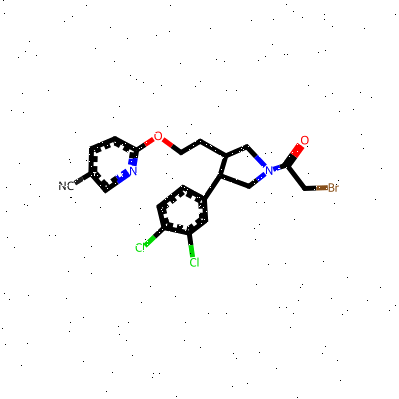 N#Cc1ccc(OCCC2CN(C(=O)CBr)CC2c2ccc(Cl)c(Cl)c2)nc1